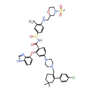 CC1(C)CCC(CN2CCN(c3ccc(C(=O)N[S+]([O-])c4ccc(NCC5CN(S(C)(=O)=O)CCO5)c([N+](=O)[O-])c4)c(Oc4cccc5[nH]cnc45)c3)CC2)=C(c2ccc(Cl)cc2)C1